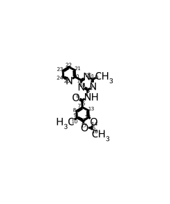 Cc1nc(NC(=O)c2cc(C)c3c(c2)OC(C)O3)nc(-c2ccccn2)n1